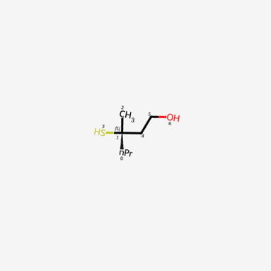 CCC[C@](C)(S)CCO